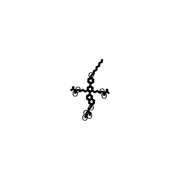 C=C(C)C(=O)OCCCc1cc(-c2ccc(OCCCCCCCC)cc2)cc(CCCOC(=O)C(=C)C)c1-c1ccc2cc(OCC3COC(=O)O3)ccc2c1